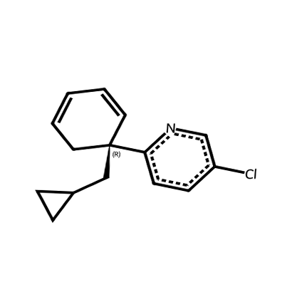 Clc1ccc([C@@]2(CC3CC3)C=CC=CC2)nc1